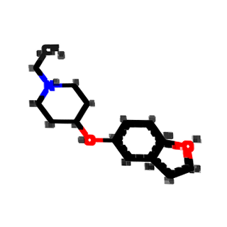 FC(F)(F)CN1CCC(Oc2ccc3o[c]cc3c2)CC1